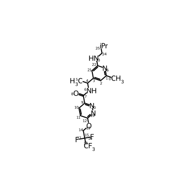 Cc1cc(C(C)NC(=O)c2ccc(OCC(F)(F)C(F)(F)F)nn2)cc(NCC(C)C)n1